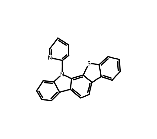 c1ccc(-n2c3ccccc3c3ccc4c5ccccc5sc4c32)nc1